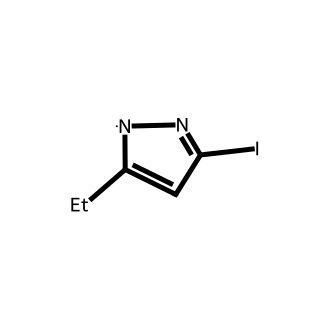 CCC1=CC(I)=N[N]1